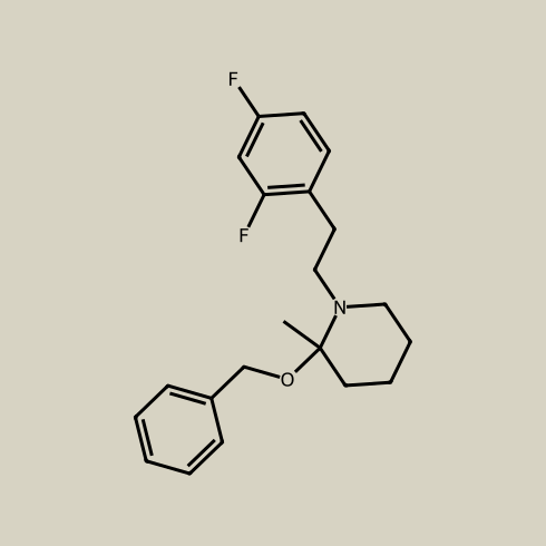 CC1(OCc2ccccc2)CCCCN1CCc1ccc(F)cc1F